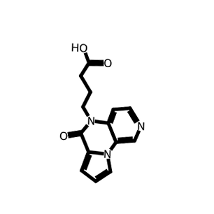 O=C(O)CCCn1c(=O)c2cccn2c2cnccc21